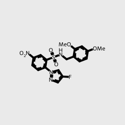 COc1ccc(CNS(=O)(=O)c2cc([N+](=O)[O-])ccc2-n2cc(F)cn2)c(OC)c1